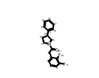 O=C(Cc1cccc(F)c1F)N1CCC(c2ccccc2)C1